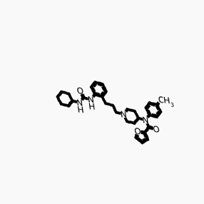 Cc1ccc(N(C(=O)c2ccco2)C2CCN(CCCc3ccccc3NC(=O)NC3CCCCC3)CC2)cc1